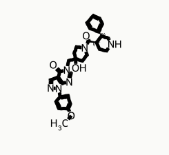 COc1ccc(-n2ncc3c(=O)n(CC4(O)CCN(C(=O)[C@@H]5CCNC[C@H]5c5ccccc5)CC4)cnc32)cc1